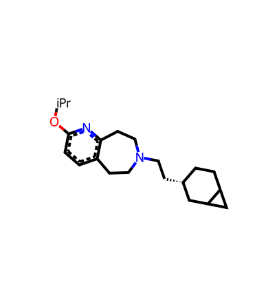 CC(C)Oc1ccc2c(n1)CCN(CC[C@@H]1CCC3CC3C1)CC2